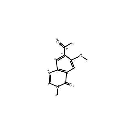 COc1cc2c(=O)n(C)cnc2cc1C(C)=O